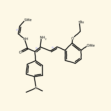 COc1cccc(/C=C/C(N)=C(/C(=O)N/C=C\SC)c2ccc(N(C)C)cc2)c1OCC(C)(C)C